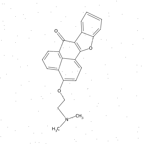 CN(C)CCOc1ccc2c3c(cccc13)C(=O)c1c-2oc2ccccc12